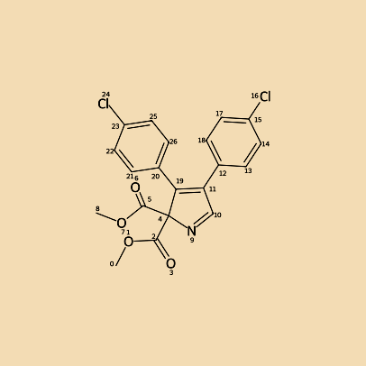 COC(=O)C1(C(=O)OC)N=CC(c2ccc(Cl)cc2)=C1c1ccc(Cl)cc1